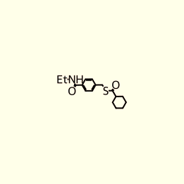 CCNC(=O)c1ccc(CSC(=O)C2CCCCC2)cc1